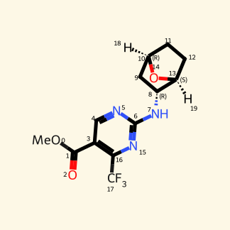 COC(=O)c1cnc(N[C@@H]2C[C@H]3CC[C@@H]2O3)nc1C(F)(F)F